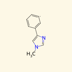 Cn1cnc(-c2c[c]ccc2)c1